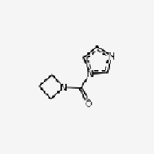 O=C(N1CCC1)n1ccnc1